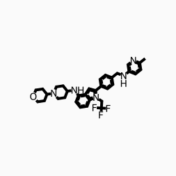 Cc1ccc(NCc2ccc(-c3cc4c(NC5CCN(C6CCOCC6)CC5)cccc4n3CC(F)(F)F)cc2)cn1